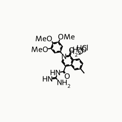 COc1cc(-n2cc(C(=O)NC(=N)N)c3cc(C)ccc3c2=O)cc(OC)c1OC.Cl.O.O